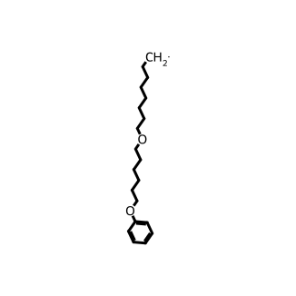 [CH2]CCCCCCCOCCCCCCOc1ccccc1